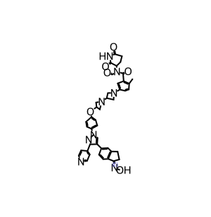 Cc1ccc(N2CC(N3CC(Oc4ccc(-n5cc(-c6ccc7c(c6)CC/C7=N\O)c(-c6ccncc6)n5)cc4)C3)C2)cc1C(=O)N(C=O)C1CCC(=O)NC1=O